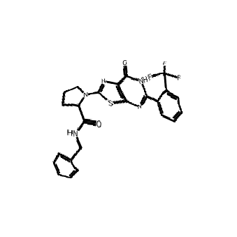 O=C(NCc1ccccc1)C1CCCN1c1nc2c(=O)[nH]c(-c3ccccc3C(F)(F)F)nc2s1